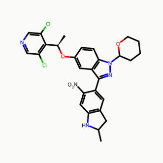 CC1Cc2cc(-c3nn(C4CCCCO4)c4ccc(O[C@H](C)c5c(Cl)cncc5Cl)cc34)c([N+](=O)[O-])cc2N1